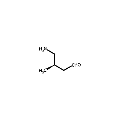 C[C@@H](CN)CC=O